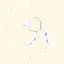 [N-]=[N+]=NC1CCCN(C(=O)O)CC1N=[N+]=[N-]